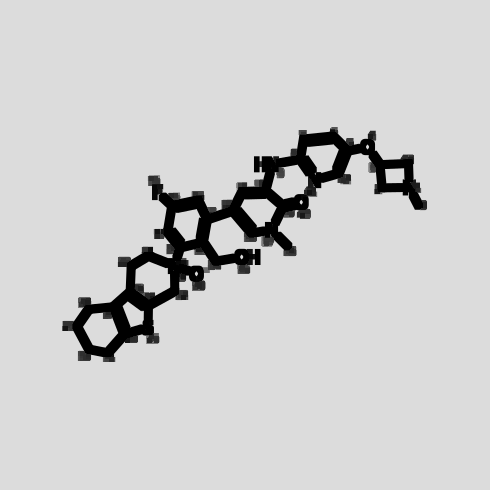 CN1CC(Oc2ccc(Nc3cc(-c4cc(F)cc([N+]5([O-])CCc6c(sc7c6CCCC7)C5)c4CO)cn(C)c3=O)nc2)C1